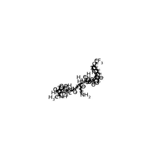 CC[C@@]1(OC(=O)N[C@@H](C)C(=O)NCCN(CCNC(=O)[C@H](C)NC(=O)O[C@]2(CC)C(=O)OCc3c2cc2n(c3=O)Cc3cc4cc(OCC(F)(F)F)ccc4nc3-2)C(=O)CCCN)C(=O)OCc2c1cc(C(C)=N)[nH]c2=O